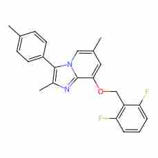 Cc1ccc(-c2c(C)nc3c(OCc4c(F)cccc4F)cc(C)cn23)cc1